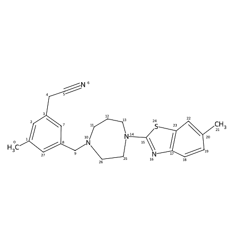 Cc1cc(CC#N)cc(CN2CCCN(c3nc4ccc(C)cc4s3)CC2)c1